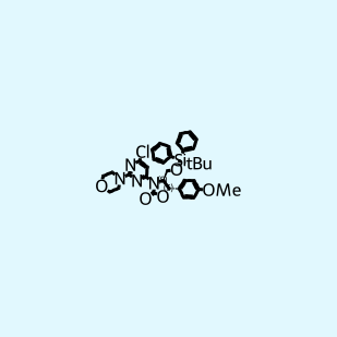 COc1ccc([C@@H]2OC(=O)N(c3cc(Cl)nc(N4CCOCC4)n3)[C@H]2CO[Si](c2ccccc2)(c2ccccc2)C(C)(C)C)cc1